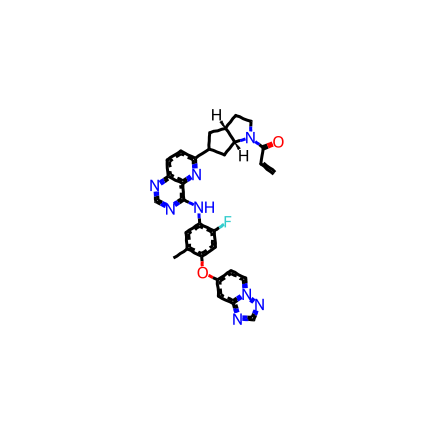 C=CC(=O)N1CC[C@H]2CC(c3ccc4ncnc(Nc5cc(C)c(Oc6ccn7ncnc7c6)cc5F)c4n3)C[C@H]21